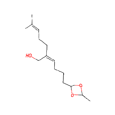 CC(C)=CCCC(=CCCCC1OC(C)O1)CO